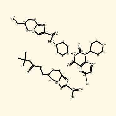 CC(C)(C)OC(=O)NCC1CCc2nc(C(=O)O)cn2C1.NCC1CCc2nc(C(=O)N[C@H]3CC[C@@H](n4c(=O)c5cc(F)cnc5n(C5CCSCC5)c4=O)CC3)cn2C1